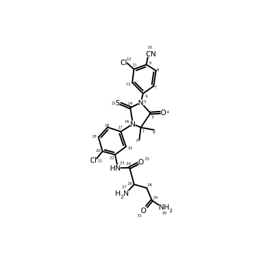 CC1(C)C(=O)N(c2ccc(C#N)c(Cl)c2)C(=S)N1c1ccc(Cl)c(NC(=O)C(N)CC(N)=O)c1